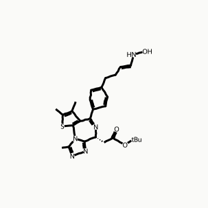 Cc1sc2c(c1C)C(c1ccc(CCC=CNO)cc1)=N[C@H](CC(=O)OC(C)(C)C)c1nnc(C)n1-2